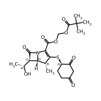 C[C@@H](O)[C@H]1C(=O)N2C(C(=O)OCOC(=O)C(C)(C)C)=C(S[C@@H]3CCC(=O)CC3=O)[C@H](C)[C@H]12